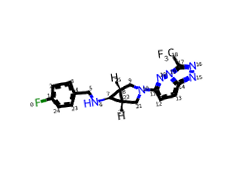 Fc1ccc(CN[C@H]2[C@@H]3CN(c4ccc5nnc(C(F)(F)F)n5n4)C[C@@H]32)cc1